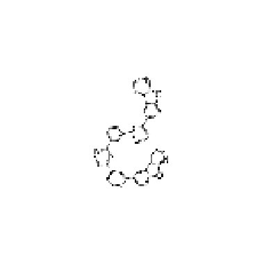 c1cc(-c2cccc(-c3nccc(-c4cccc(-c5ccc6oc7ncccc7c6c5)c4)n3)c2)cc(-c2ccc3oc4ncccc4c3c2)c1